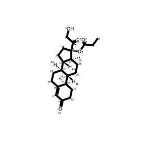 CCC(=O)O[C@]1(C(=S)CO)CC[C@H]2[C@@H]3CCC4=CC(=O)CC[C@]4(C)[C@H]3CC[C@@]21C